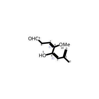 C=C(C)/C=C(O)\C(=C/CC=O)OC